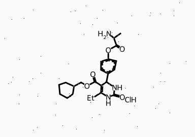 CCC1=C(C(=O)OCC2CCCCC2)C(c2ccc(OC(=O)C(C)N)cc2)NC(=O)N1.Cl